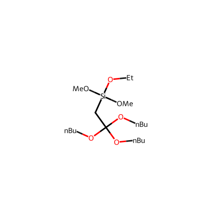 CCCCOC(C[Si](OC)(OC)OCC)(OCCCC)OCCCC